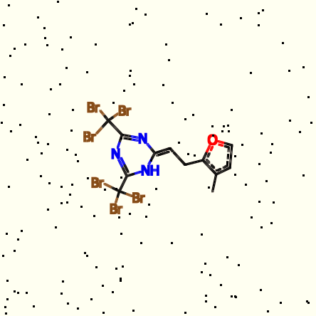 Cc1ccoc1C/C=C1/N=C(C(Br)(Br)Br)N=C(C(Br)(Br)Br)N1